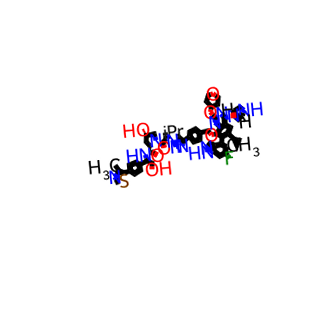 Cc1ncsc1-c1ccc(C(CO)NC(=O)[C@@H]2C[C@@H](O)CN2C(=O)C(C(C)C)n2cc(-c3ccc(COc4c(-c5c(C)c(F)cc6[nH]ncc56)c(C5CC5)cc5c(N6C[C@@H]7C[C@H]6CN7)nc(OC6CCOCC6)nc45)cc3)nn2)cc1